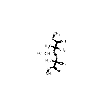 COC(=N)C(C)(C)N=NC(C)(C)C(=N)OC.Cl.Cl